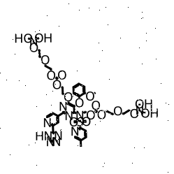 COc1ccccc1Oc1c(OCCOC(=O)OCCOCCON(O)O)nc(-c2ccnc(-c3nnn[nH]3)c2)nc1N(COC(=O)OCCOCCON(O)O)S(=O)(=O)c1ccc(C)cn1